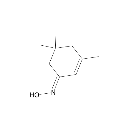 CC1=C/C(=N/O)CC(C)(C)C1